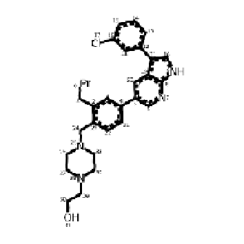 CC(C)Cc1cc(-c2cnc3[nH]cc(-c4cccc(Cl)c4)c3c2)ccc1CN1CCN(CCO)CC1